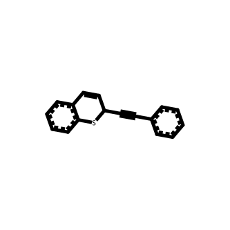 C(#CC1C=Cc2ccccc2S1)c1ccccc1